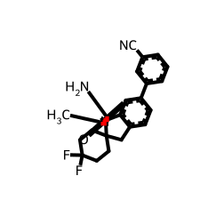 CN1C(=O)C2(N=C1N)c1cc(-c3cccc(C#N)c3)ccc1CC21CCC(F)(F)CC1